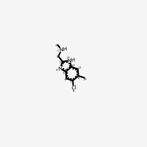 CNCc1nc2cc(Cl)c(C)cc2[nH]1